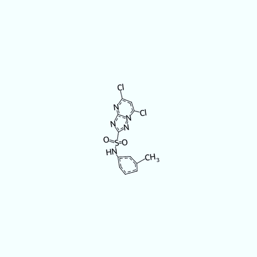 Cc1cccc(NS(=O)(=O)c2nc3nc(Cl)cc(Cl)n3n2)c1